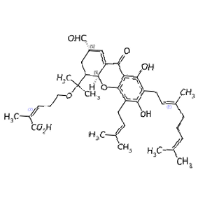 CC(C)=CCC/C(C)=C/Cc1c(O)c(CC=C(C)C)c2c(c1O)C(=O)C1=C[C@@H](C=O)CC(C(C)(C)OCC/C=C(/C)C(=O)O)[C@@H]1O2